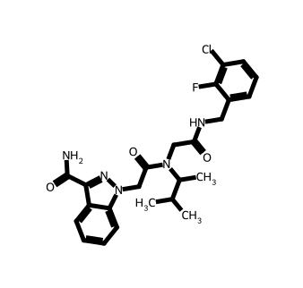 CC(C)C(C)N(CC(=O)NCc1cccc(Cl)c1F)C(=O)Cn1nc(C(N)=O)c2ccccc21